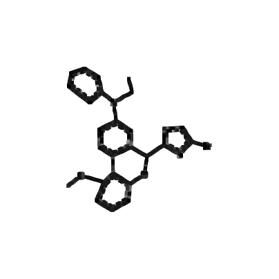 CCN(c1ccccc1)c1ccc2c(c1)C(c1ccc(Br)s1)Oc1cccc(OC)c1-2